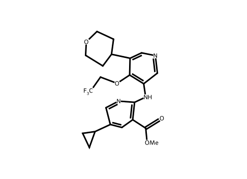 COC(=O)c1cc(C2CC2)cnc1Nc1cncc(C2CCOCC2)c1OCC(F)(F)F